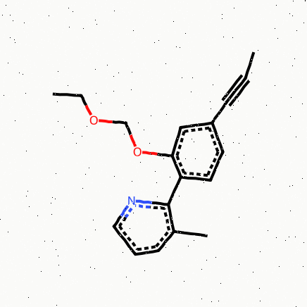 CC#Cc1ccc(-c2ncccc2C)c(OCOCC)c1